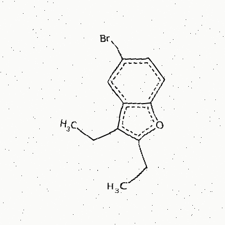 CCc1oc2ccc(Br)cc2c1CC